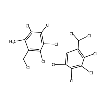 Cc1c(Cl)c(Cl)c(Cl)c(Cl)c1CCl.Clc1cc(C(Cl)Cl)c(Cl)c(Cl)c1Cl